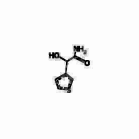 NC(=O)C(O)c1ccsc1